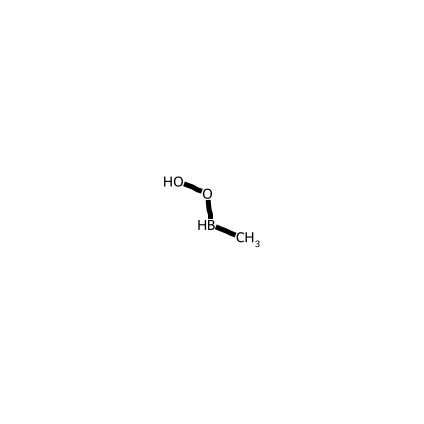 CBOO